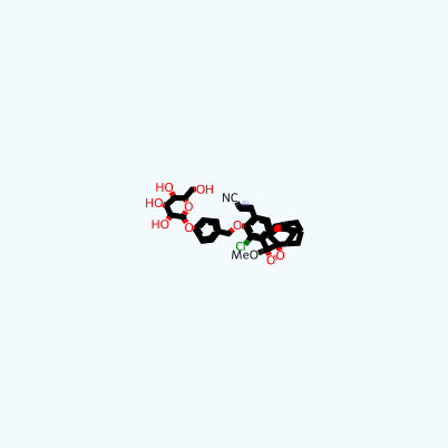 COC1(c2ccc(/C=C/C#N)c(OCc3ccc(OC4OC(CO)C(O)C(O)C4O)cc3)c2Cl)OOC12C1CC3CC(C1)CC2C3